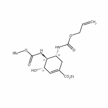 C=CCOC(=O)N[C@@H]1CC(C(=O)OCC)=C[C@H](O)[C@H]1NC(=O)OC(C)(C)C